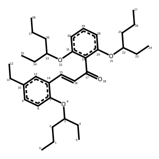 CCCC(CC)Oc1ccc(CC)cc1C=CC(=O)c1c(OC(CC)CCC)cccc1OC(CC)CCC